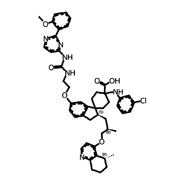 COc1ccccc1-c1nccc(NC(=O)NCCOc2ccc3c(c2)C2(CCC(Nc4cccc(Cl)c4)(C(=O)O)CC2)[C@@H](C[C@@H](C)COc2ccnc4c2[C@H](C)CCC4)C3)n1